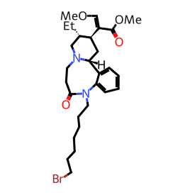 CC[C@H]1CN2CCC(=O)N(CCCCCCCBr)c3ccccc3[C@H]2C[C@@H]1/C(=C\OC)C(=O)OC